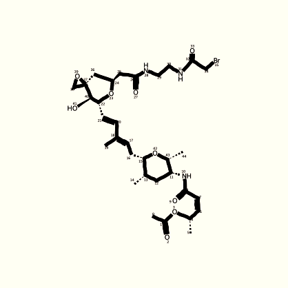 CC(=O)O[C@@H](C)/C=C\C(=O)N[C@@H]1C[C@H](C)[C@H](C/C=C(C)/C=C/[C@H]2O[C@H](CC(=O)NCCNC(=O)CBr)C[C@@]3(CO3)[C@@H]2O)O[C@@H]1C